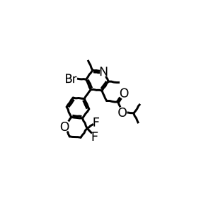 Cc1nc(C)c(CC(=O)OC(C)C)c(-c2ccc3c(c2)C(F)(F)CCO3)c1Br